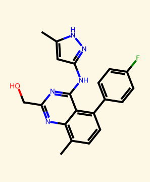 Cc1cc(Nc2nc(CO)nc3c(C)ccc(-c4ccc(F)cc4)c23)n[nH]1